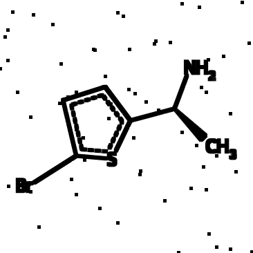 C[C@H](N)c1ccc(Br)s1